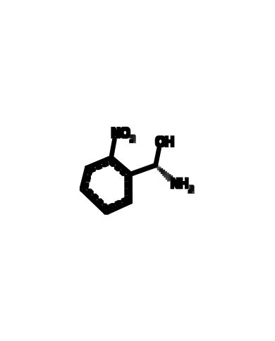 N[C@@H](O)c1ccccc1[N+](=O)[O-]